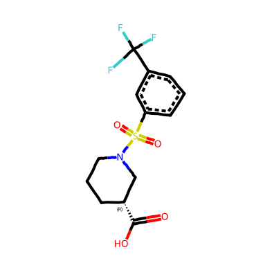 O=C(O)[C@@H]1CCCN(S(=O)(=O)c2cccc(C(F)(F)F)c2)C1